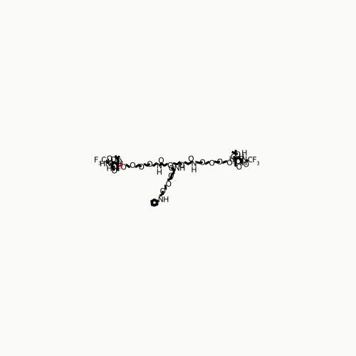 CC1(C)O[C@@H]2[C@@H](NC(=O)C(F)(F)F)[C@H]3OC[C@](COCCOCCOCCOCCNC(=O)CCOCC(COCCC(=O)NCCOCCOCCOCCOC[C@@]45CO[C@@H](O4)[C@H](NC(=O)C(F)(F)F)[C@H]4OC(C)(C)O[C@H]45)NC(=O)COCCOCCOCCNc4ccccc4)(O3)[C@@H]2O1